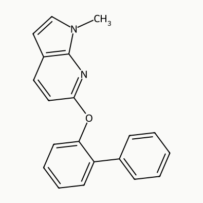 Cn1ccc2ccc(Oc3ccccc3-c3ccccc3)nc21